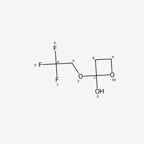 OC1(OCC(F)(F)F)CCO1